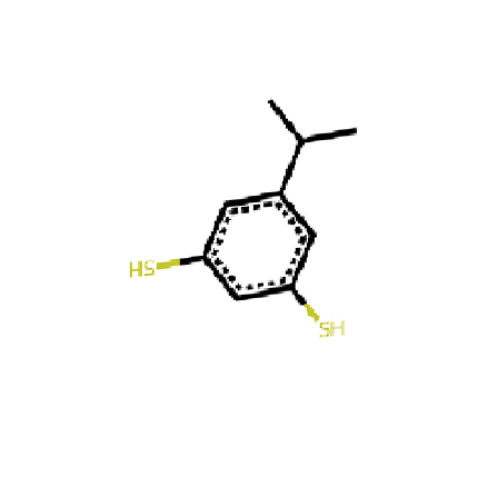 CC(C)c1cc(S)cc(S)c1